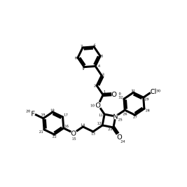 O=C(C=Cc1ccccc1)OC1C(CCOc2ccc(F)cc2)C(=O)N1c1ccc(Cl)cc1